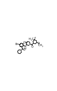 COC1CC(C(=O)N2CCC[C@@H](Nc3c(O)cc(Br)cc3C(=O)N3CCCCC3)C2)CC(C)(F)C1